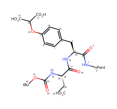 CCCCCNC(=O)[C@H](Cc1ccc(OC(C(=O)O)C(=O)O)cc1)NC(=O)[C@H](CC(=O)O)NC(=O)OC(C)(C)C